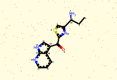 CC[C@H](N)c1csc(C(=O)c2c[nH]c3ncccc23)n1